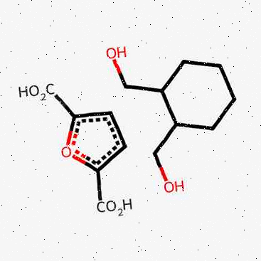 O=C(O)c1ccc(C(=O)O)o1.OCC1CCCCC1CO